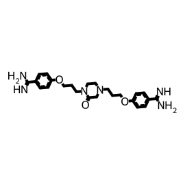 N=C(N)c1ccc(OCCCN2CCN(CCCOc3ccc(C(=N)N)cc3)C(=O)C2)cc1